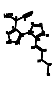 C#CC(O)c1csnc1-n1ccnc1/C=C/CCC